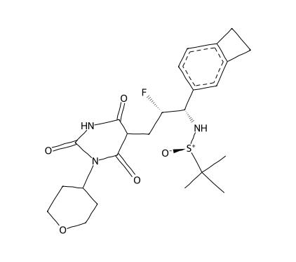 CC(C)(C)[S@@+]([O-])N[C@@H](c1ccc2c(c1)CC2)[C@@H](F)CC1C(=O)NC(=O)N(C2CCOCC2)C1=O